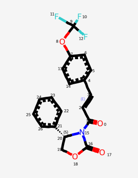 O=C(/C=C/c1ccc(OC(F)(F)F)cc1)N1C(=O)OC[C@@H]1c1ccccc1